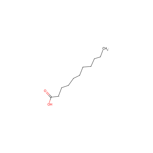 [CH2]CCCCCCCC[CH]C(=O)O